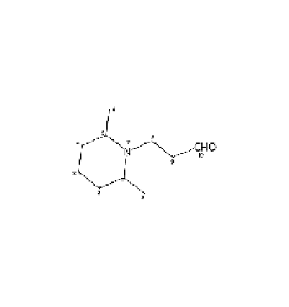 CC1CCCC(C)N1CCC=O